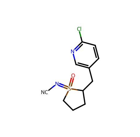 N#CN=S1(=O)CCCC1Cc1ccc(Cl)nc1